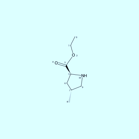 CCOC(=O)[C@@H]1C[C@@H](C)CN1